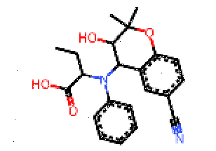 CCC(C(=O)O)N(c1ccccc1)C1c2cc(C#N)ccc2OC(C)(C)C1O